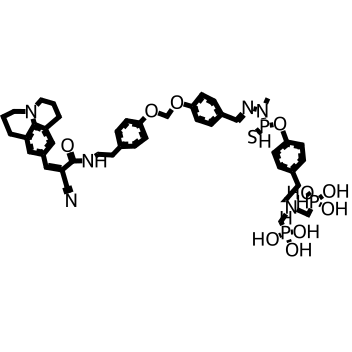 CN(/N=C/c1ccc(OCOc2ccc(CCNC(=O)/C(C#N)=C\c3cc4c5c(c3)CCCN5CCC4)cc2)cc1)[PH](=S)Oc1ccc(CCN(C[PH](O)(O)O)C[PH](O)(O)O)cc1